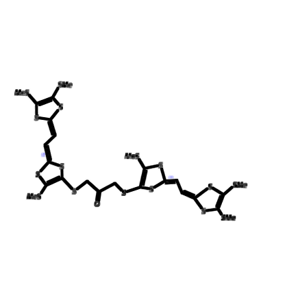 CSC1=C(SC)SC(=C/C=C2/SC(SC)=C(SCC(=O)CSC3=C(SC)S/C(=C/C=C4SC(SC)=C(SC)S4)S3)S2)S1